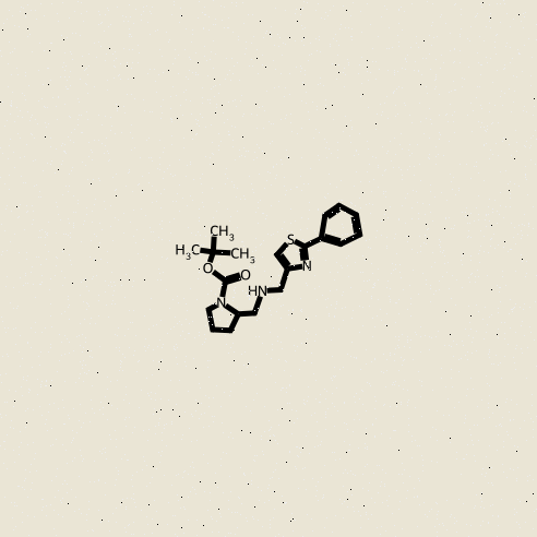 CC(C)(C)OC(=O)N1CCCC1CNCc1csc(-c2ccccc2)n1